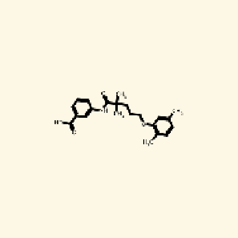 Cc1ccc(C)c(OCCCC(C)(C)C(=O)Nc2cccc(C(=O)O)c2)c1